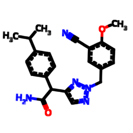 COc1ccc(Cn2ncc(C(C(N)=O)c3ccc(C(C)C)cc3)n2)cc1C#N